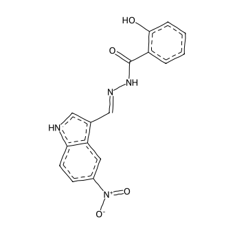 O=C(N/N=C/c1c[nH]c2ccc([N+](=O)[O-])cc12)c1ccccc1O